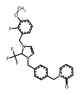 COc1cccc(CN2C=CN(Cc3ccc(Cn4ccccc4=O)cc3)C2C(F)(F)F)c1F